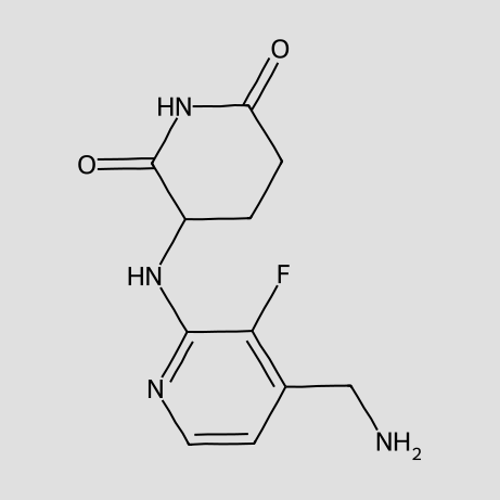 NCc1ccnc(NC2CCC(=O)NC2=O)c1F